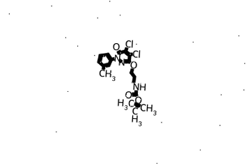 Cc1cccc(-n2nc(OCCCNC(=O)OC(C)(C)C)c(Cl)c(Cl)c2=O)c1